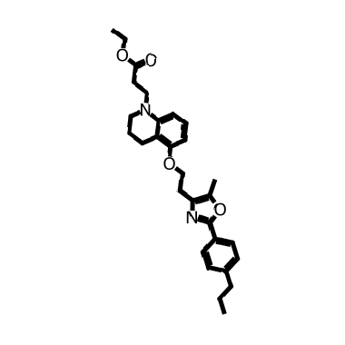 CCCc1ccc(-c2nc(CCOc3cccc4c3CCCN4CCC(=O)OCC)c(C)o2)cc1